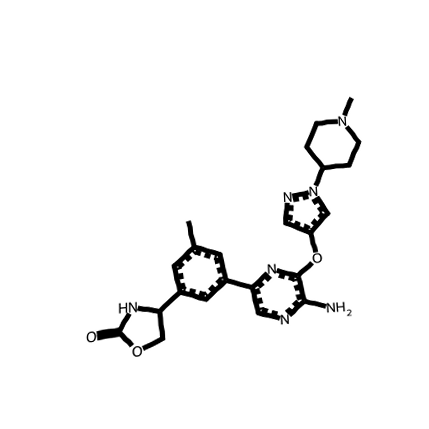 Cc1cc(-c2cnc(N)c(Oc3cnn(C4CCN(C)CC4)c3)n2)cc(C2COC(=O)N2)c1